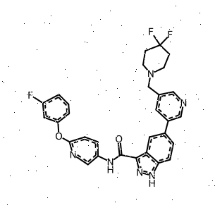 O=C(Nc1ccc(Oc2cccc(F)c2)nc1)c1n[nH]c2ccc(-c3cncc(CN4CCC(F)(F)CC4)c3)cc12